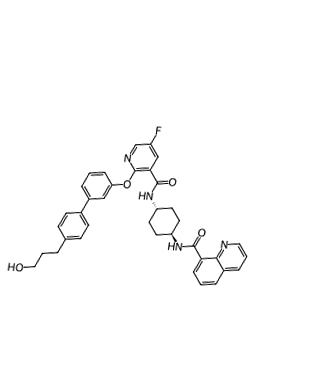 O=C(N[C@H]1CC[C@H](NC(=O)c2cccc3cccnc23)CC1)c1cc(F)cnc1Oc1cccc(-c2ccc(CCCO)cc2)c1